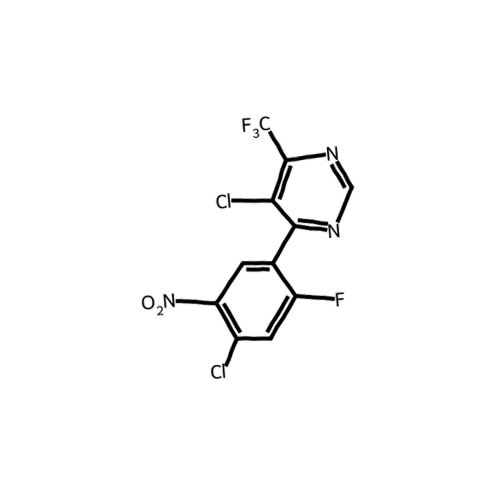 O=[N+]([O-])c1cc(-c2ncnc(C(F)(F)F)c2Cl)c(F)cc1Cl